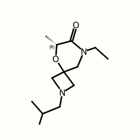 CCN1CC2(CN(CC(C)C)C2)O[C@H](C)C1=O